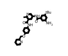 Cc1ncc(NC(=O)c2cc(N)cc(C(C)(C)C)c2)cc1C(=O)Nc1ccc(OCc2ccccn2)cc1